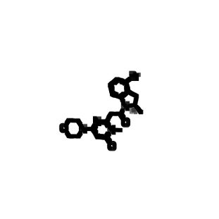 C[C@@H]1Cc2c(Br)cccc2N1C(=O)Cc1nc(N2CCOCC2)cc(=O)n1C